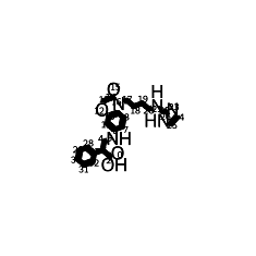 O=C(O)C(CNc1ccc2c(c1)OCC(=O)N2CCCCNc1ncc[nH]1)c1ccccc1